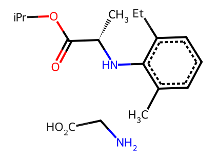 CCc1cccc(C)c1N[C@@H](C)C(=O)OC(C)C.NCC(=O)O